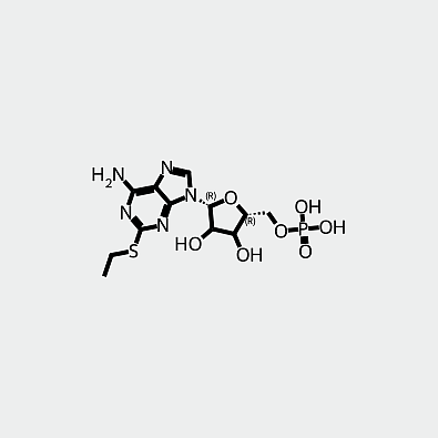 CCSc1nc(N)c2ncn([C@@H]3O[C@H](COP(=O)(O)O)C(O)C3O)c2n1